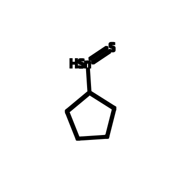 [S]=[SnH][CH]1CCCC1